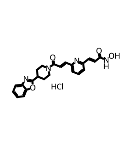 Cl.O=C(C=Cc1cccc(C=CC(=O)N2CCC(c3nc4ccccc4o3)CC2)n1)NO